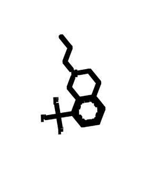 CCCN1CCc2cccc(C(F)(F)F)c2C1